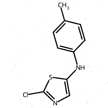 Cc1ccc(Nc2cnc(Cl)s2)cc1